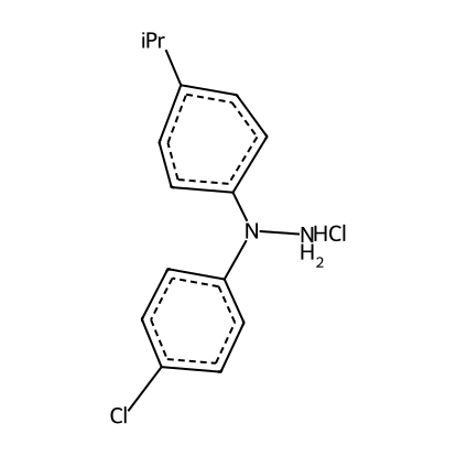 CC(C)c1ccc(N(N)c2ccc(Cl)cc2)cc1.Cl